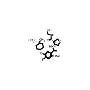 COc1cc(F)c(O[C@H]2CC[C@@](C)(C(=O)O)CC2)cc1C(=O)N[C@H]1COC[C@H]1C(=O)NCC(C)(C)C